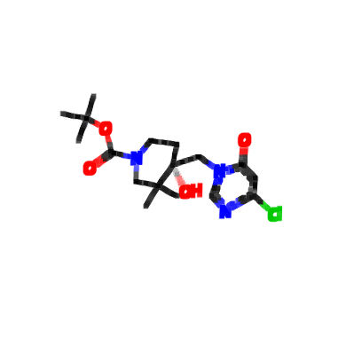 CC(C)(C)OC(=O)N1CC[C@@](O)(Cn2cnc(Cl)cc2=O)C(C)(C)C1